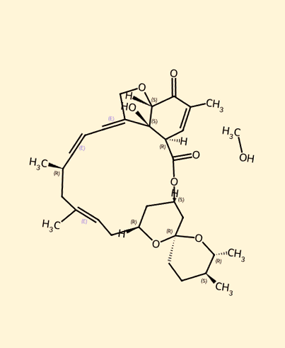 CC1=C[C@H]2C(=O)O[C@H]3C[C@@H](C/C=C(\C)C[C@@H](C)/C=C/C=C4\CO[C@H](C1=O)[C@@]42O)O[C@@]1(CC[C@H](C)[C@@H](C)O1)C3.CO